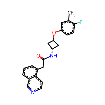 O=C(Cc1cccc2cnccc12)N[C@H]1C[C@H](Oc2ccc(F)c(C(F)(F)F)c2)C1